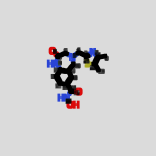 Cc1nc(CN2CC(=O)Nc3ccc(C(=O)NO)cc3C2)sc1C